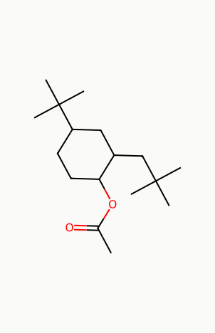 CC(=O)OC1CCC(C(C)(C)C)CC1CC(C)(C)C